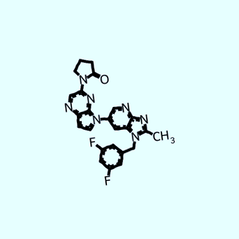 Cc1nc2ncc(-n3ccc4ncc(N5CCCC5=O)nc43)cc2n1Cc1cc(F)cc(F)c1